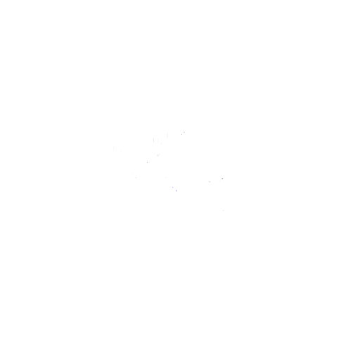 CC(C)C(Cl)OC(=O)NCC1(Cc2ccccc2)CCCCC1